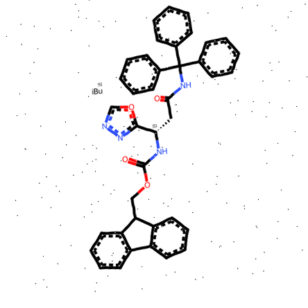 CC[C@H](C)c1nnc([C@H](CC(=O)NC(c2ccccc2)(c2ccccc2)c2ccccc2)NC(=O)OCC2c3ccccc3-c3ccccc32)o1